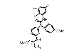 COC[C@H](C)Nc1nccc(N(C(=O)Nc2cc(F)cc(F)c2F)c2ccc(OC)cc2)n1